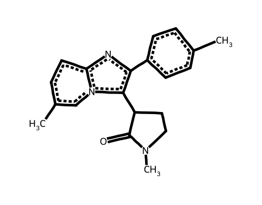 Cc1ccc(-c2nc3ccc(C)cn3c2C2CCN(C)C2=O)cc1